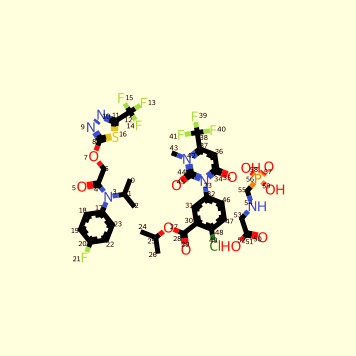 CC(C)N(C(=O)COc1nnc(C(F)(F)F)s1)c1ccc(F)cc1.CC(C)OC(=O)c1cc(-n2c(=O)cc(C(F)(F)F)n(C)c2=O)ccc1Cl.O=C(O)CNCP(=O)(O)O